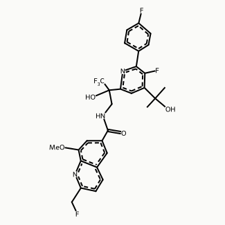 COc1cc(C(=O)NCC(O)(c2cc(C(C)(C)O)c(F)c(-c3ccc(F)cc3)n2)C(F)(F)F)cc2ccc(CF)nc12